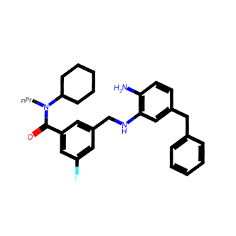 CCCN(C(=O)c1cc(F)cc(CNc2cc(Cc3ccccc3)ccc2N)c1)C1CCCCC1